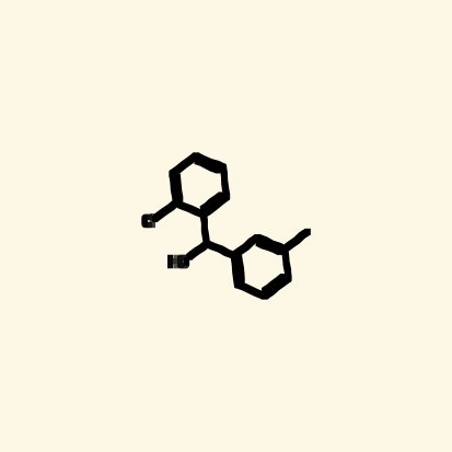 Cc1cccc(C(O)c2ccccc2Cl)c1